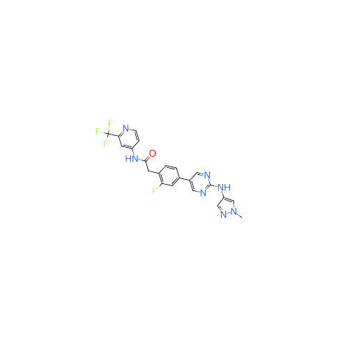 Cn1cc(Nc2ncc(-c3ccc(CC(=O)Nc4ccnc(C(F)(F)F)c4)c(F)c3)cn2)cn1